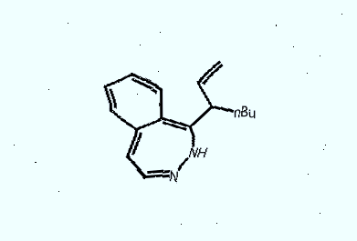 C=CC(CCCC)C1=c2ccccc2=CC=NN1